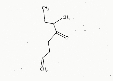 C=CCCC(=O)C(C)CC